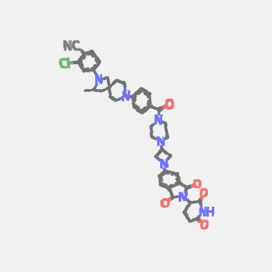 CC1CC2(CCN(c3ccc(C(=O)N4CCN(C5CN(c6ccc7c(c6)C(=O)N(C6CCC(=O)NC6=O)C7=O)C5)CC4)cc3)CC2)CN1c1ccc(C#N)c(Cl)c1